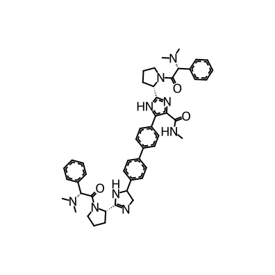 CNC(=O)c1nc([C@@H]2CCCN2C(=O)[C@@H](c2ccccc2)N(C)C)[nH]c1-c1ccc(-c2ccc(C3CN=C([C@@H]4CCCN4C(=O)[C@@H](c4ccccc4)N(C)C)N3)cc2)cc1